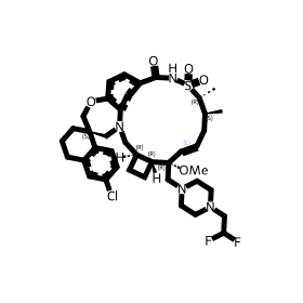 CO[C@@]1(CN2CCN(CC(F)F)CC2)/C=C/C[C@H](C)[C@@H](C)S(=O)(=O)NC(=O)c2ccc3c(c2)N(C[C@@H]2CC[C@H]21)C[C@@]1(CCCc2cc(Cl)ccc21)CO3